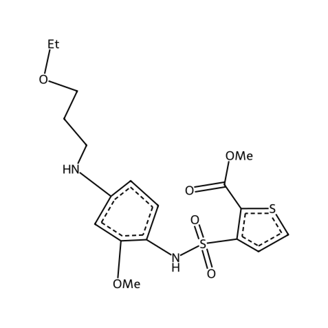 CCOCCCNc1ccc(NS(=O)(=O)c2ccsc2C(=O)OC)c(OC)c1